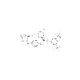 Cc1cc(F)ccc1-c1cc([C@H]2CC[C@](C)(C(=O)O)N2C(=O)O)ncc1N(C)C(=O)C(C)(C)c1cc(C(F)(F)F)cc(C(F)(F)F)c1